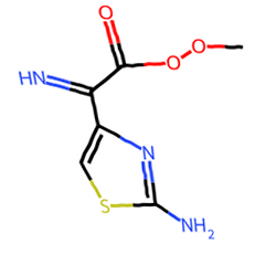 COOC(=O)C(=N)c1csc(N)n1